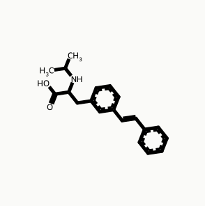 CC(C)NC(Cc1cccc(/C=C/c2ccccc2)c1)C(=O)O